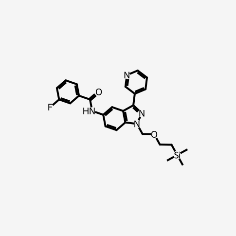 C[Si](C)(C)CCOCn1nc(-c2cccnc2)c2cc(NC(=O)c3cccc(F)c3)ccc21